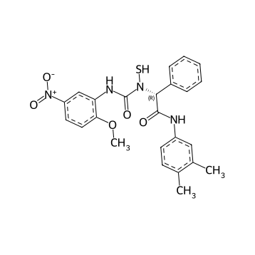 COc1ccc([N+](=O)[O-])cc1NC(=O)N(S)[C@@H](C(=O)Nc1ccc(C)c(C)c1)c1ccccc1